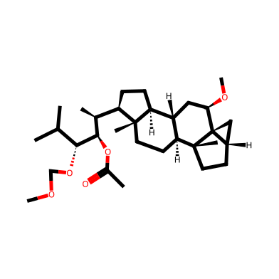 COCO[C@H](C(C)C)[C@H](OC(C)=O)[C@@H](C)[C@H]1CC[C@H]2[C@@H]3C[C@@H](OC)[C@]45C[C@@H]4CC[C@]5(C)[C@H]3CC[C@]12C